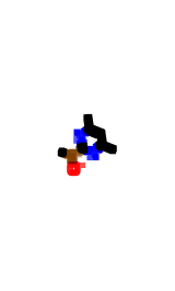 Cc1cc(C)nc([S+](C)[O-])n1